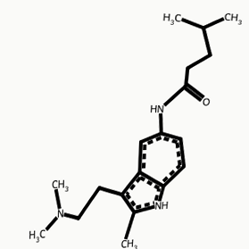 Cc1[nH]c2ccc(NC(=O)CCC(C)C)cc2c1CCN(C)C